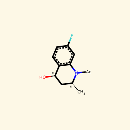 CC(=O)N1c2cc(F)ccc2[C@H](O)C[C@H]1C